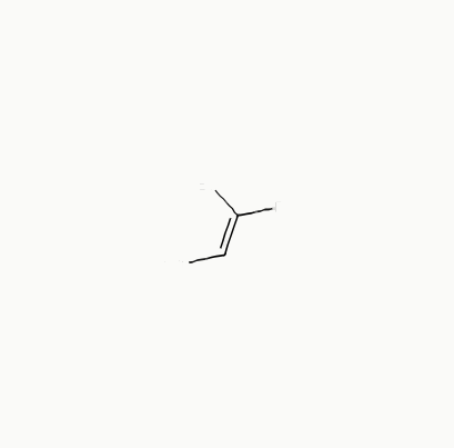 [CH2]CC(=CCCC)CC